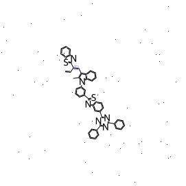 C=C/C(=C\c1c(C)n(-c2cccc(-c3nc4cc(-c5nc(-c6ccccc6)nc(-c6ccccc6)n5)ccc4s3)c2)c2ccccc12)c1nc2ccccc2s1